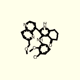 COCc1ccc2nccc(-c3[nH]c4c(c3Nc3cccc(Cl)c3OC)C(=O)CCC4)c2n1